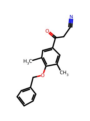 Cc1cc(C(=O)CC#N)cc(C)c1OCc1ccccc1